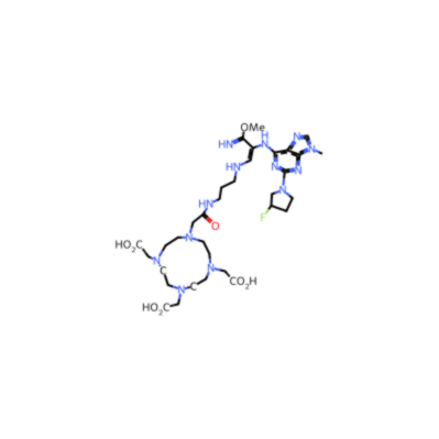 COC(=N)/C(=C\NCCCNC(=O)CN1CCN(CC(=O)O)CCN(CC(=O)O)CCN(CC(=O)O)CC1)Nc1nc(N2CCC(F)C2)nc2c1ncn2C